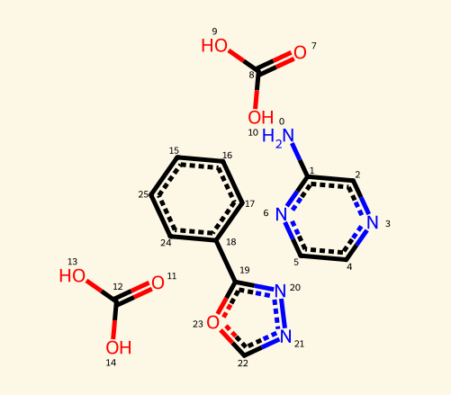 Nc1cnccn1.O=C(O)O.O=C(O)O.c1ccc(-c2nnco2)cc1